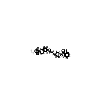 Cn1c(N2CCC(CCCOc3ccc4c(c3)CCN(S(C)(=O)=O)C4)CC2)nc2ccccc21